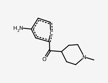 CN1CCC(C(=O)c2cccc(N)c2)CC1